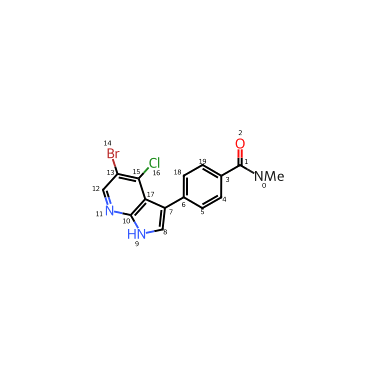 CNC(=O)c1ccc(-c2c[nH]c3ncc(Br)c(Cl)c23)cc1